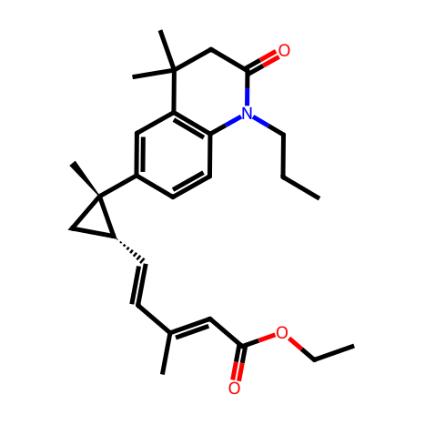 CCCN1C(=O)CC(C)(C)c2cc([C@@]3(C)C[C@H]3C=CC(C)=CC(=O)OCC)ccc21